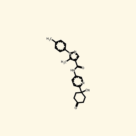 Cc1ccc(-n2ncc(C(=O)Nc3ccc(C4(C#N)CCC(=O)CC4)nc3)c2C)cc1